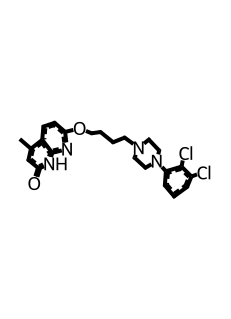 Cc1cc(=O)[nH]c2nc(OCCCCN3CCN(c4cccc(Cl)c4Cl)CC3)ccc12